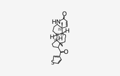 C[C@]12C=CC(=O)NC1CC[C@@H]1[C@H]2CC[C@]2(C)C(C(=O)c3ccsc3)CC[C@@H]12